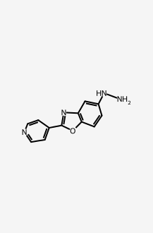 NNc1ccc2oc(-c3ccncc3)nc2c1